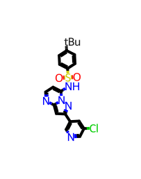 CC(C)(C)c1ccc(S(=O)(=O)Nc2ccnc3cc(-c4cncc(Cl)c4)nn23)cc1